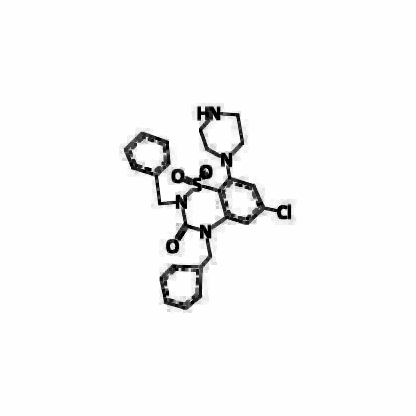 O=C1N(Cc2ccccc2)c2cc(Cl)cc(N3CCNCC3)c2S(=O)(=O)N1Cc1ccccc1